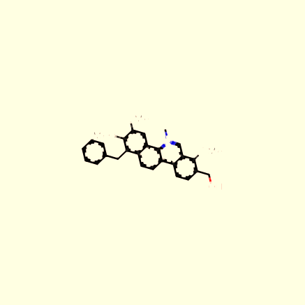 COc1cc2c(ccc3c4ccc(CO)c(OC)c4c[n+](C)c23)c(Cc2ccccc2)c1OC